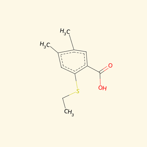 CCSc1cc(C)c(C)cc1C(=O)O